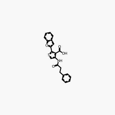 O=C(CCc1ccccc1)Nc1csc(-c2cc3ccccc3o2)c1C(=O)O